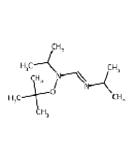 CC(C)N=CN(OC(C)(C)C)C(C)C